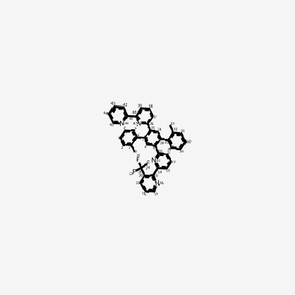 Cc1ccccc1-c1cc(-c2cccc(-c3ncccc3C(F)(F)F)n2)c(-c2ccccc2C)cc1-c1cccc(-c2ccccn2)n1